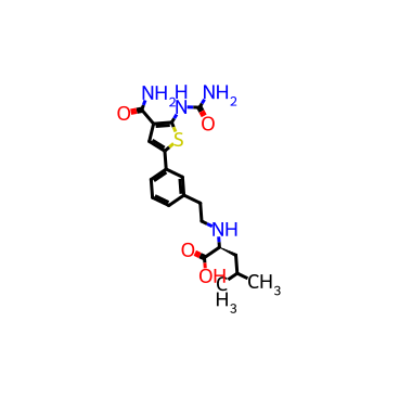 CC(C)C[C@H](NCCc1cccc(-c2cc(C(N)=O)c(NC(N)=O)s2)c1)C(=O)O